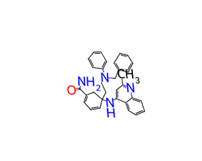 Cc1cc(NC2(CCN(Cc3ccccc3)c3ccccc3)C=CC=C(C(N)=O)C2)c2ccccc2n1